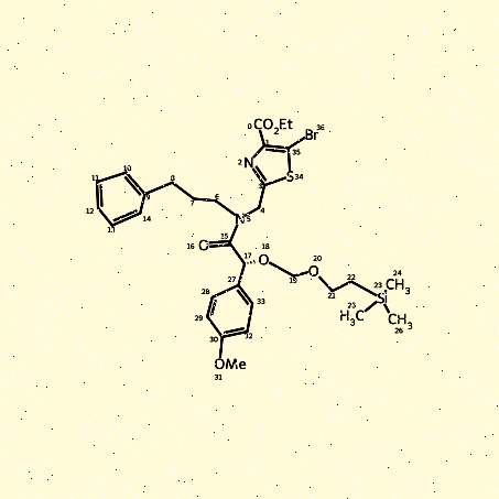 CCOC(=O)c1nc(CN(CCCc2ccccc2)C(=O)[C@H](OCOCC[Si](C)(C)C)c2ccc(OC)cc2)sc1Br